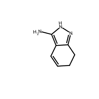 Nc1[nH]nc2c1C=CCC2